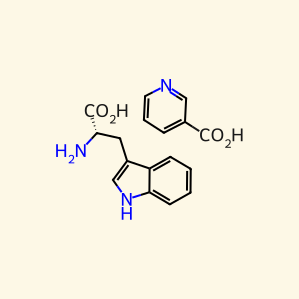 N[C@@H](Cc1c[nH]c2ccccc12)C(=O)O.O=C(O)c1cccnc1